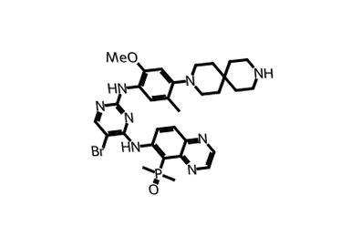 COc1cc(N2CCC3(CCNCC3)CC2)c(C)cc1Nc1ncc(Br)c(Nc2ccc3nccnc3c2P(C)(C)=O)n1